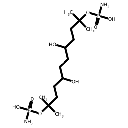 CC(C)(CCC(O)CCC(O)CCC(C)(C)OP(N)(=O)O)OP(N)(=O)O